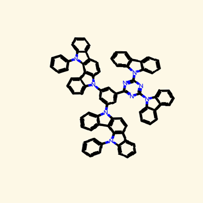 c1ccc(-n2c3ccccc3c3ccc4c(c5ccccc5n4-c4cc(-c5nc(-n6c7ccccc7c7ccccc76)nc(-n6c7ccccc7c7ccccc76)n5)cc(-n5c6ccccc6c6c5ccc5c7ccccc7n(-c7ccccc7)c56)c4)c32)cc1